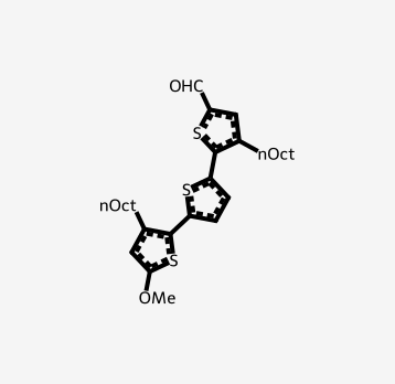 CCCCCCCCc1cc(C=O)sc1-c1ccc(-c2sc(OC)cc2CCCCCCCC)s1